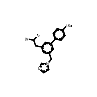 CC(C)(C)c1ccc(-c2cc(CC(Br)Br)cc(Cn3ccnc3)c2)cc1